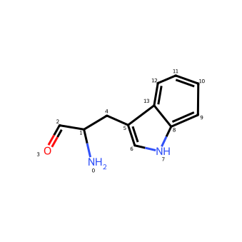 NC(C=O)Cc1c[nH]c2ccccc12